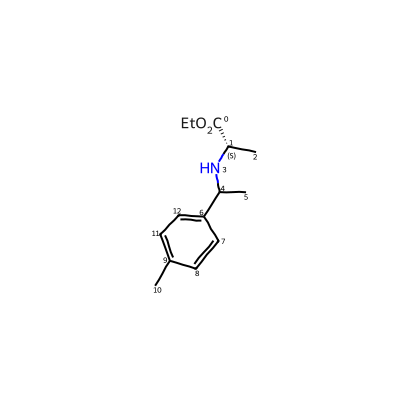 CCOC(=O)[C@H](C)NC(C)c1ccc(C)cc1